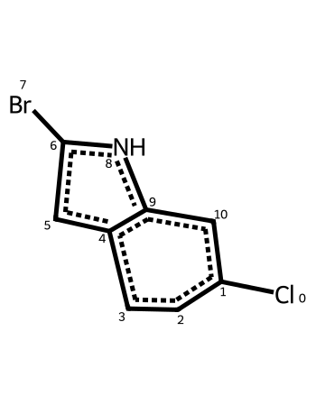 Clc1ccc2cc(Br)[nH]c2c1